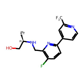 CC(C)[C@H](CO)NCc1nc(-c2ccnc(C(F)(F)F)c2)ccc1F